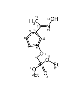 CCOP(=O)(COc1cccc(/C(C)=N/O)c1)OCC